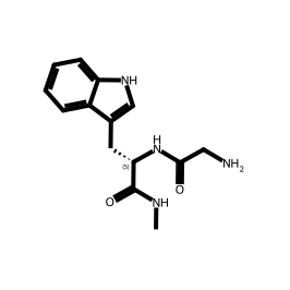 CNC(=O)[C@H](Cc1c[nH]c2ccccc12)NC(=O)CN